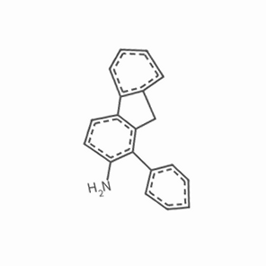 Nc1ccc2c(c1-c1ccccc1)Cc1ccccc1-2